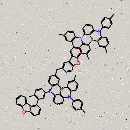 Cc1ccc(N2c3ccc(C)cc3B3c4cc(Cc5ccc6oc7ccc(-c8cc(C)ccc8N8c9ccc(C)cc9B9c%10cc(C)ccc%10N(c%10ccc(C)cc%10)c%10cccc8c%109)cc7c6c5)ccc4N(c4ccc(C)c(-c5cccc6oc7ccccc7c56)c4)c4cccc2c43)cc1